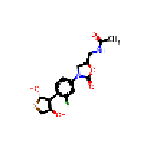 CC(=O)NCC1CN(c2ccc(C3=C(O)CS[C@@H]3O)c(F)c2)C(=O)O1